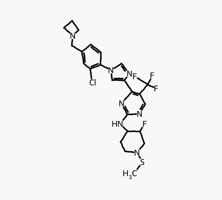 CSN1CCC(Nc2ncc(C(F)(F)F)c(-c3cn(-c4ccc(CN5CCC5)cc4Cl)cn3)n2)C(F)C1